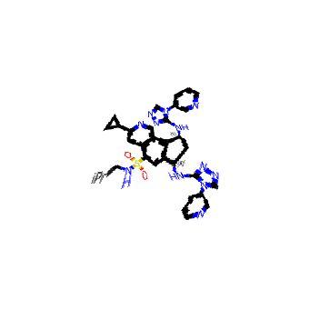 CC(C)CNS(=O)(=O)c1cc2c(c3cnc(C4CC4)cc13)[C@@H](Nc1nncn1-c1cccnc1)C[C@H]2Nc1nncn1-c1cccnc1